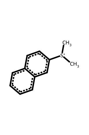 C[S+](C)c1ccc2ccccc2c1